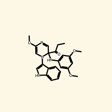 CCC(=O)C1(Nc2cc(OC)cc(OC)c2)C=NC(OC)=CN1c1c[nH]c2ccccc12